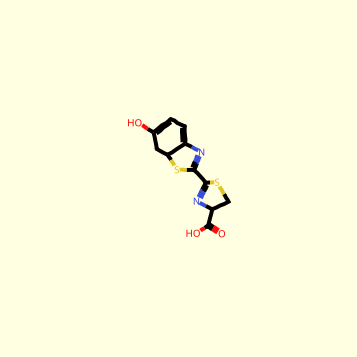 O=C(O)C1CSC(C2=NC3=CC=C(O)CC3S2)=N1